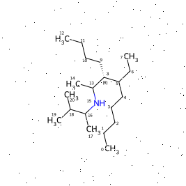 CCCCCC(CC)[C@@H](CCCC)C(C)NC(C)C(C)C